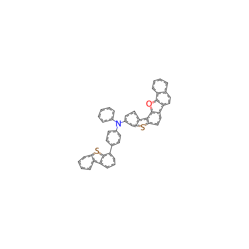 c1ccc(N(c2ccc(-c3cccc4c3sc3ccccc34)cc2)c2ccc3c(c2)sc2ccc4c5ccc6ccccc6c5oc4c23)cc1